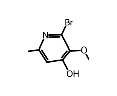 COc1c(O)cc(C)nc1Br